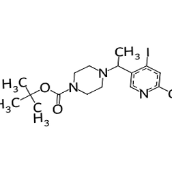 CC(c1cnc(Cl)cc1I)N1CCN(C(=O)OC(C)(C)C)CC1